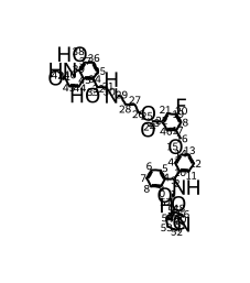 O=C(NC(c1ccccc1)c1cccc(OCc2cc(F)cc(C(=O)OCCCCNC[C@H](O)c3ccc(O)c4[nH]c(=O)ccc34)c2)c1)O[C@H]1CN2CCC1CC2